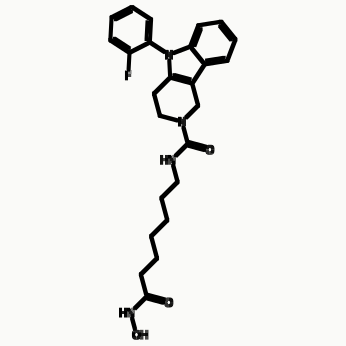 O=C(CCCCCCNC(=O)N1CCc2c(c3ccccc3n2-c2ccccc2F)C1)NO